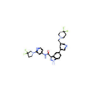 O=C(Nc1ccnc(N2CCC(F)(F)C2)c1)c1n[nH]c2ccc(-c3cncc(CN4CCC(F)(F)CC4)c3)cc12